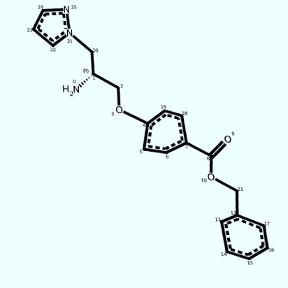 N[C@@H](COc1ccc(C(=O)OCc2ccccc2)cc1)Cn1cccn1